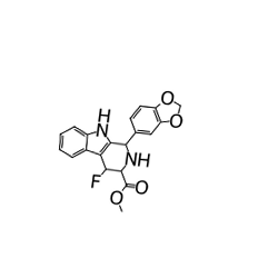 COC(=O)C1NC(c2ccc3c(c2)OCO3)c2[nH]c3ccccc3c2C1F